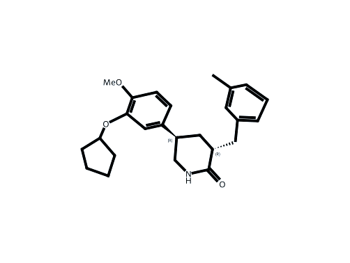 COc1ccc([C@@H]2CNC(=O)[C@@H](Cc3cccc(C)c3)C2)cc1OC1CCCC1